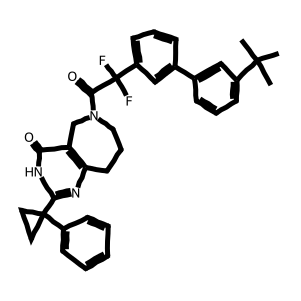 CC(C)(C)c1cccc(-c2cccc(C(F)(F)C(=O)N3CCCc4nc(C5(c6ccccc6)CC5)[nH]c(=O)c4C3)c2)c1